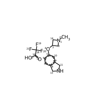 CN1CC(Oc2ccc3c(c2)CNC3)C1.O=C(O)C(F)(F)F